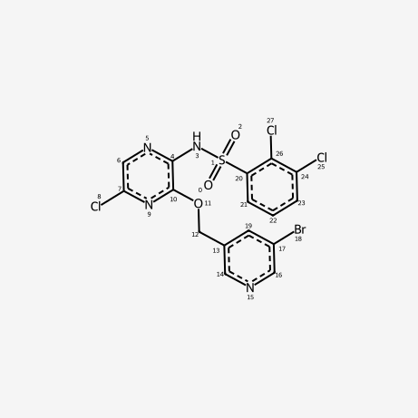 O=S(=O)(Nc1ncc(Cl)nc1OCc1cncc(Br)c1)c1cccc(Cl)c1Cl